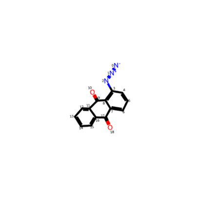 [N-]=[N+]=Nc1cccc2c1C(=O)c1ccccc1C2=O